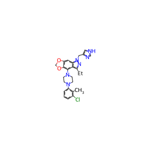 CCc1nn(Cc2c[nH]cn2)c2cc3c(c(N4CCN(c5cccc(Cl)c5C)CC4)c12)OCO3